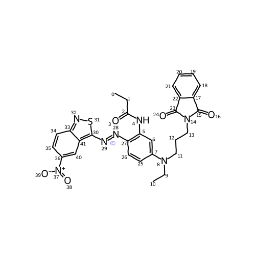 CCC(=O)Nc1cc(N(CC)CCCN2C(=O)c3ccccc3C2=O)ccc1/N=N/c1snc2ccc([N+](=O)[O-])cc12